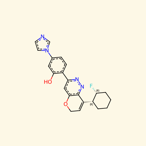 Oc1cc(-n2ccnc2)ccc1-c1cc2c(nn1)C([C@H]1CCCC[C@H]1F)=CCO2